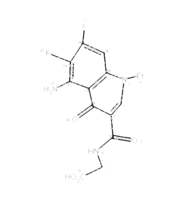 CCn1cc(C(=O)NCC(=O)O)c(=O)c2c(N)c(F)c(F)cc21